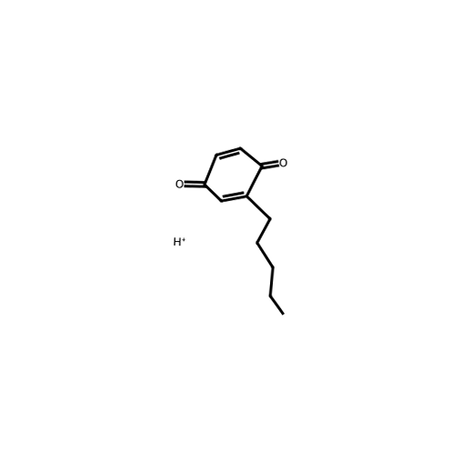 CCCCCC1=CC(=O)C=CC1=O.[H+]